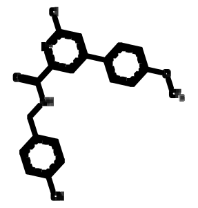 N#Cc1ccc(CNC(=O)c2cc(-c3ccc(OC(F)(F)F)cc3)cc(Cl)n2)cc1